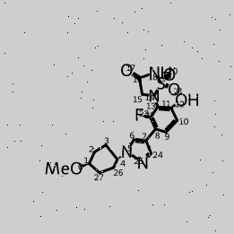 CO[C@H]1CC[C@H](n2cc(-c3ccc(O)c(N4CC(=O)NS4(=O)=O)c3F)cn2)CC1